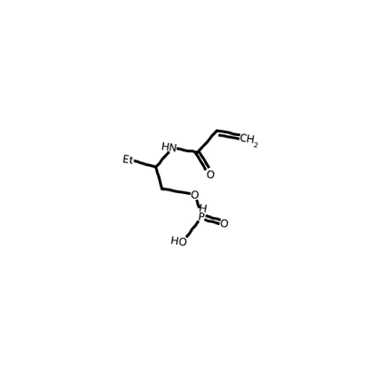 C=CC(=O)NC(CC)CO[PH](=O)O